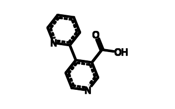 O=C(O)c1cnccc1-c1ccccn1